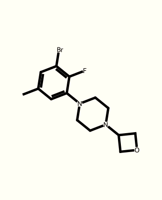 Cc1cc(Br)c(F)c(N2CCN(C3COC3)CC2)c1